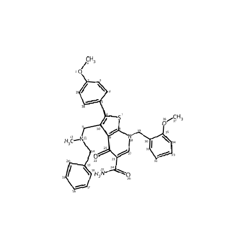 COc1ccc(-c2sc3c(c2CN(C)Cc2ccccc2)c(=O)c(C(N)=O)cn3Cc2ccccc2OC)cc1